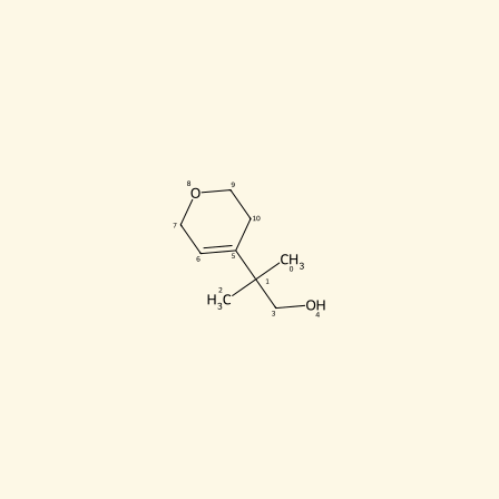 CC(C)(CO)C1=CCOCC1